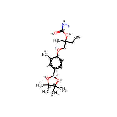 CC(C)CC(C)(COc1ccc(B2OC(C)(C)C(C)(C)O2)cc1C#N)OC(N)=O